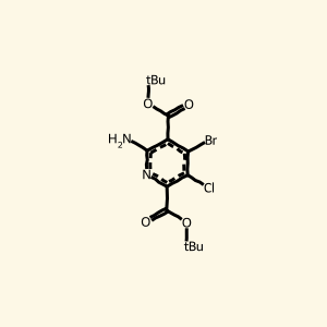 CC(C)(C)OC(=O)c1nc(N)c(C(=O)OC(C)(C)C)c(Br)c1Cl